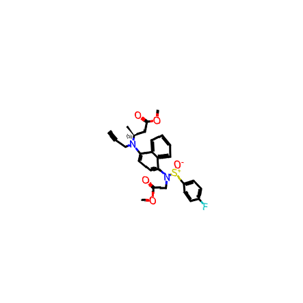 C#CCN(c1ccc(N(CC(=O)OC)[S+]([O-])c2ccc(F)cc2)c2ccccc12)[C@@H](C)CC(=O)OC